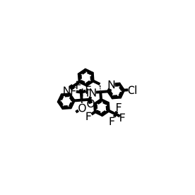 CO[C@](C(=O)N[C@](Cc1cccc(C#N)c1)(c1cc(F)cc(C(F)(F)F)c1)c1ccc(Cl)cn1)(c1ccccc1)C(F)(F)F